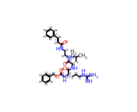 CC(C)C[C@H](NC(=O)[C@H](CCCNC(=N)N)NC(=O)OCc1ccccc1)C(=O)NCCNC(=O)/C=C/c1ccccc1